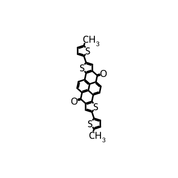 Cc1ccc(-c2cc3c(s2)-c2ccc4c5c(ccc(c25)C3=O)-c2sc(-c3ccc(C)s3)cc2C4=O)s1